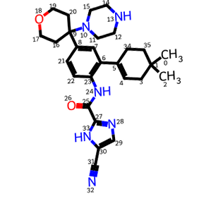 CC1(C)CC=C(c2cc(C3(N4CCNCC4)CCOCC3)ccc2NC(=O)c2ncc(C#N)[nH]2)CC1